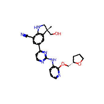 C[C@]1(CO)CNc2c(C#N)cc(-c3ccnc(Nc4cccnc4OC[C@@H]4CCCO4)n3)cc21